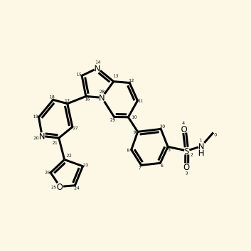 CNS(=O)(=O)c1cccc(-c2ccc3ncc(-c4ccnc(-c5ccoc5)c4)n3c2)c1